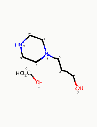 O=C(O)O.OCCCN1CCNCC1